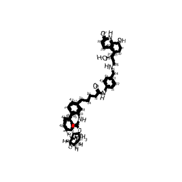 C[N+]1(C)[C@@H]2C[C@@H](OC(=O)Nc3cc(CCCCC(=O)Nc4ccc(CNC[C@H](O)c5ccc(O)c6[nH]c(=O)ccc56)cc4)ccc3-c3ccccc3)C[C@H]1[C@@H]1O[C@@H]12